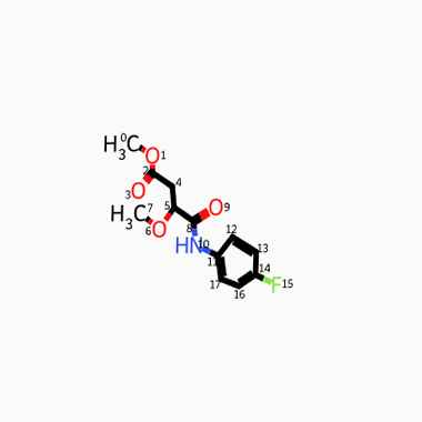 COC(=O)CC(OC)C(=O)Nc1ccc(F)cc1